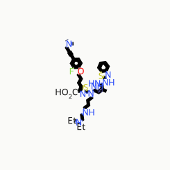 CCN(CC)CCNCCCCN(C(=N)/C=C(/C)C(=N)NC1=NC2C=CC=CC2S1)c1nc(C(=O)O)c(CCCOc2ccc(C#CCN(C)C)cc2F)s1